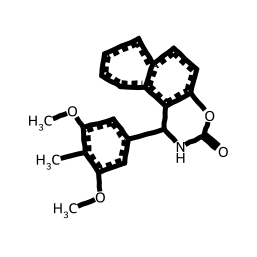 COc1cc(C2NC(=O)Oc3ccc4ccccc4c32)cc(OC)c1C